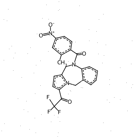 Cc1cc([N+](=O)[O-])ccc1C(=O)N1Cc2ccc(C(=O)C(F)(F)F)n2Cc2ccccc21